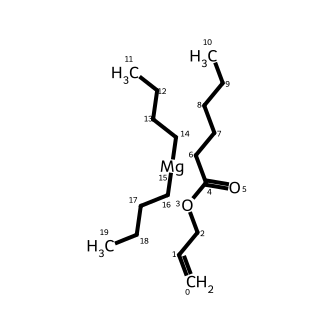 C=CCOC(=O)CCCCC.CCC[CH2][Mg][CH2]CCC